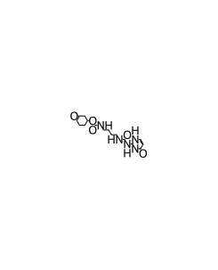 O=C(NCCCCNC(=O)OC1CCC2OC2C1)Nc1nc(=O)cc[nH]1